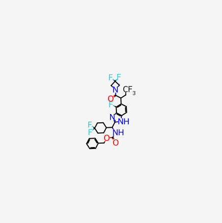 O=C(NC(c1nc2c(F)c(C(CC(F)(F)F)C(=O)N3CC(F)(F)C3)ccc2[nH]1)C1CCC(F)(F)CC1)OCc1ccccc1